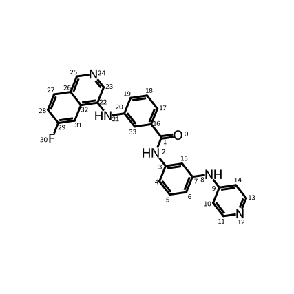 O=C(Nc1cccc(Nc2ccncc2)c1)c1cccc(Nc2cncc3ccc(F)cc23)c1